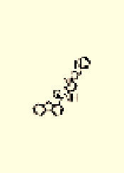 O=C(Nc1ccc(OCc2ccccn2)nc1)c1cccc2c1Cc1ccccc1-2